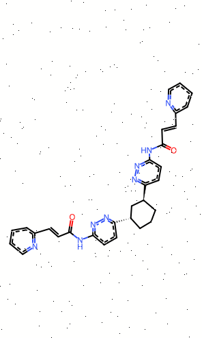 O=C(/C=C/c1ccccn1)Nc1ccc([C@H]2CCC[C@H](c3ccc(NC(=O)/C=C/c4ccccn4)nn3)C2)nn1